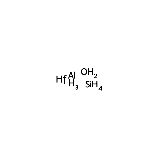 O.[AlH3].[Hf].[SiH4]